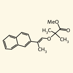 COC(=O)C(C)(C)OC=C(C)c1ccc2ccccc2c1